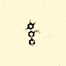 NC1CN(c2ccncn2)CC[C@@H]1C1CC(F)=C(F)C=C1F